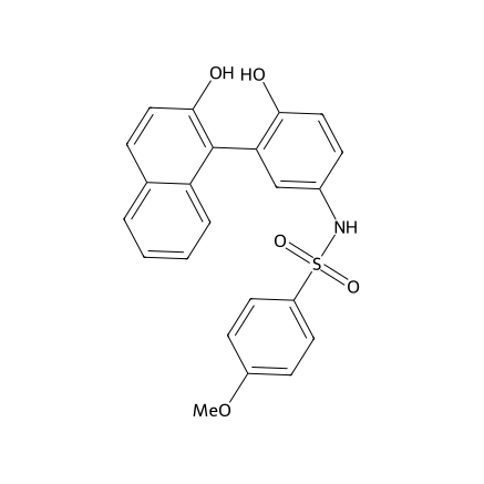 COc1ccc(S(=O)(=O)Nc2ccc(O)c(-c3c(O)ccc4ccccc34)c2)cc1